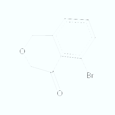 O=C1COCc2cccc(Br)c21